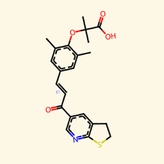 Cc1cc(/C=C/C(=O)c2cnc3c(c2)CCS3)cc(C)c1OC(C)(C)C(=O)O